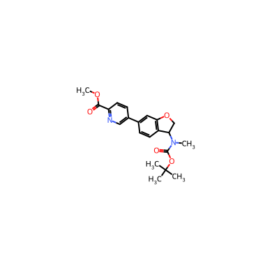 COC(=O)c1ccc(-c2ccc3c(c2)OCC3N(C)C(=O)OC(C)(C)C)cn1